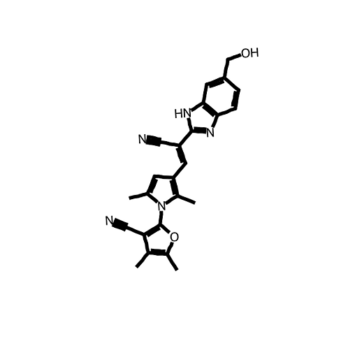 Cc1oc(-n2c(C)cc(/C=C(\C#N)c3nc4ccc(CO)cc4[nH]3)c2C)c(C#N)c1C